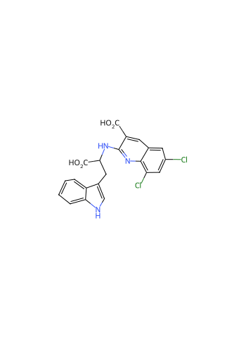 O=C(O)c1cc2cc(Cl)cc(Cl)c2nc1NC(Cc1c[nH]c2ccccc12)C(=O)O